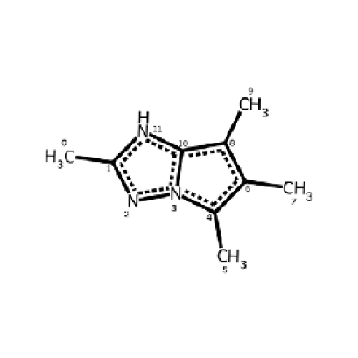 Cc1nn2c(C)c(C)c(C)c2[nH]1